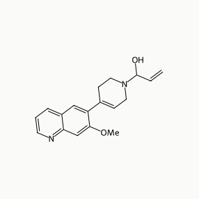 C=CC(O)N1CC=C(c2cc3cccnc3cc2OC)CC1